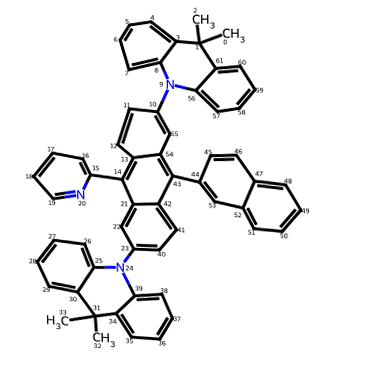 CC1(C)c2ccccc2N(c2ccc3c(-c4ccccn4)c4cc(N5c6ccccc6C(C)(C)c6ccccc65)ccc4c(-c4ccc5ccccc5c4)c3c2)c2ccccc21